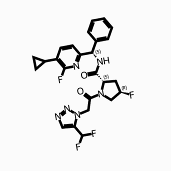 O=C(N[C@@H](c1ccccc1)c1ccc(C2CC2)c(F)n1)[C@@H]1C[C@@H](F)CN1C(=O)Cn1nncc1C(F)F